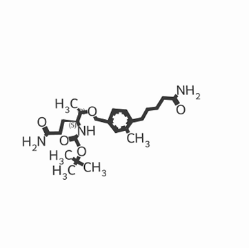 Cc1cc(CO[C@H](C)[C@H](CCC(N)=O)NC(=O)OC(C)(C)C)ccc1CCCCC(N)=O